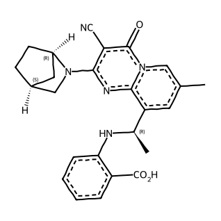 Cc1cc([C@@H](C)Nc2ccccc2C(=O)O)c2nc(N3C[C@H]4CC[C@@H]3C4)c(C#N)c(=O)n2c1